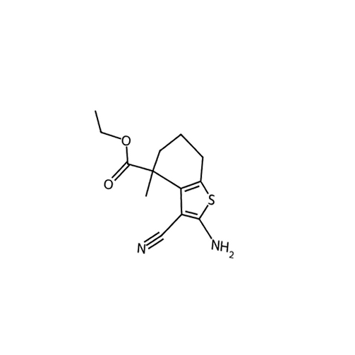 CCOC(=O)C1(C)CCCc2sc(N)c(C#N)c21